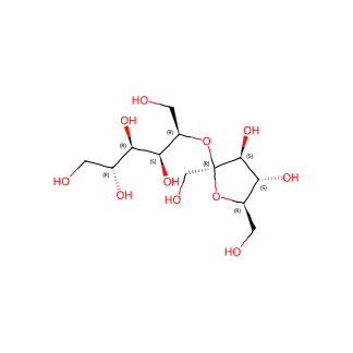 OC[C@@H](O)[C@@H](O)[C@H](O)[C@@H](CO)O[C@]1(CO)O[C@H](CO)[C@@H](O)[C@@H]1O